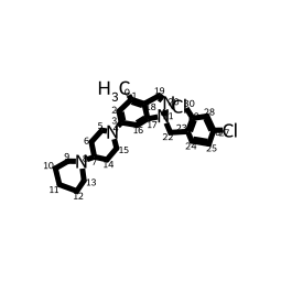 Cc1cc(N2CCC(N3CCCCC3)CC2)cc2c1cnn2Cc1ccc(Cl)cc1Cl